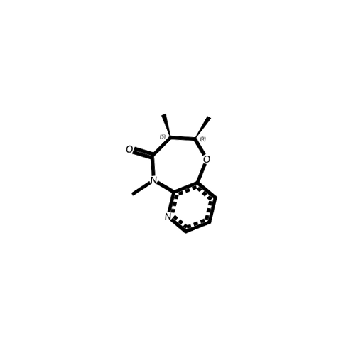 C[C@@H]1C(=O)N(C)c2ncccc2O[C@@H]1C